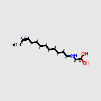 CCCCCCCC/C=C\CCCCCCCCCNCC(O)O